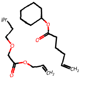 C=CCCCC(=O)OC1CCCCC1.C=CCOC(=O)COCCC(C)C